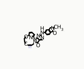 CN1Cc2cc(Nc3ncc4c(=O)n5n(c4n3)-c3cccc(n3)OCCC/C=C\C5)ccc2C1=O